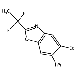 CCCc1cc2oc(C(C)(F)F)nc2cc1CC